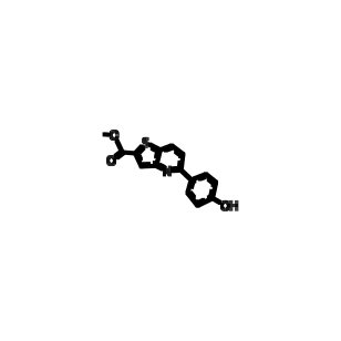 COC(=O)c1cc2nc(-c3ccc(O)cc3)ccc2s1